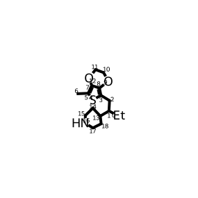 CCC(Cc1sc(C)c2c1OCCO2)C1CCNCC1